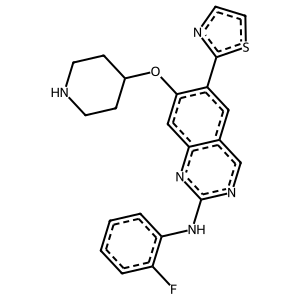 Fc1ccccc1Nc1ncc2cc(-c3nccs3)c(OC3CCNCC3)cc2n1